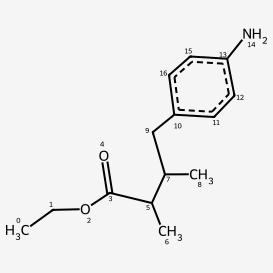 CCOC(=O)C(C)C(C)Cc1ccc(N)cc1